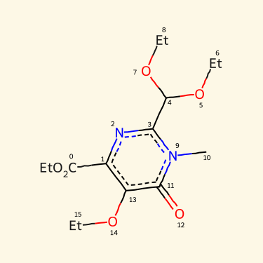 CCOC(=O)c1nc(C(OCC)OCC)n(C)c(=O)c1OCC